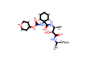 CCCCC[C@H](NC(=O)[C@@H](O)[C@@H](NC(=O)C1(NC(=O)OC2CCOCC2)CCCCC1)C(C)C)C(C)=O